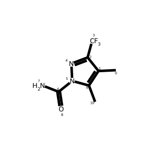 Cc1c(C(F)(F)F)nn(C(N)=O)c1C